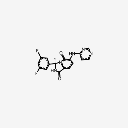 C[C@@]1(c2cc(F)cc(F)c2)NC(=O)c2ccc(Nc3ccncn3)c(=O)n21